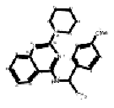 COc1ccc(C(C)Nc2nc(N3CCCCC3)nc3ccccc23)cc1